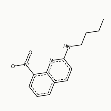 CCCCNc1ccc2cccc([N+](=O)[O-])c2n1